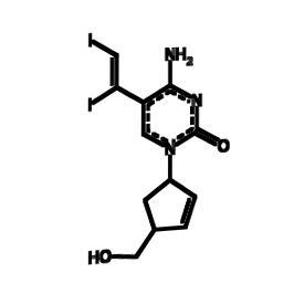 Nc1nc(=O)n(C2C=CC(CO)C2)cc1C(I)=CI